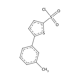 Cc1cccc(-c2ccc(S(=O)(=O)Cl)s2)c1